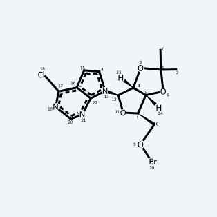 CC1(C)O[C@@H]2[C@H](O1)[C@@H](COBr)O[C@H]2n1ccc2c(Cl)ncnc21